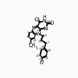 Cc1ccc2nc3c(=O)[nH]c(=O)nc-3n(CCCc3ccc(Cl)cc3)c2c1